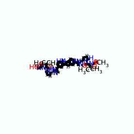 COC(=O)N[C@H](C(=O)N1CCC[C@H]1c1ncc(-c2ccc3c(c2)Cc2c-3[nH]c3ccc(-c4cnc([C@@H]5CCCN5C(=O)[C@@H](NC(=O)CO)C(C)C)[nH]4)cc23)[nH]1)C(C)C